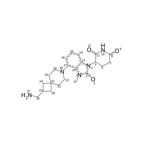 Cn1c(=O)n(C2CCC(=O)NC2=O)c2cccc(N3CCC4(CC3)CC(CN)C4)c21